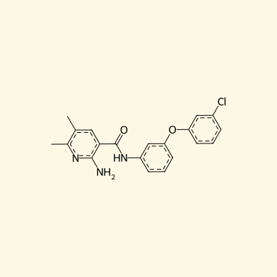 Cc1cc(C(=O)Nc2cccc(Oc3cccc(Cl)c3)c2)c(N)nc1C